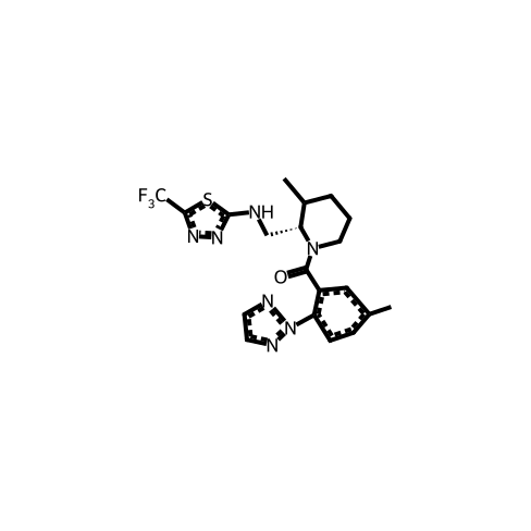 Cc1ccc(-n2nccn2)c(C(=O)N2CCCC(C)[C@H]2CNc2nnc(C(F)(F)F)s2)c1